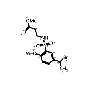 COC(=O)CCNS(=O)(=O)c1cc(C(C)Br)ccc1OC